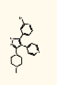 CN1CCN(c2n[nH]c(-c3cccc(Br)c3)c2-c2ccncc2)CC1